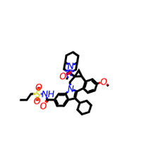 CCCS(=O)(=O)NC(=O)c1ccc2c(C3CCCCC3)c3n(c2c1)CC1(C(=O)N2C4CCCC2CN(C)C4)CC1c1cc(OC)ccc1-3